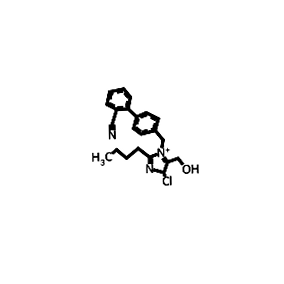 CCCCC1=NC(Cl)C(CO)=[N+]1Cc1ccc(-c2ccccc2C#N)cc1